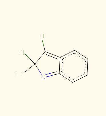 FC(F)(F)C1(Cl)N=c2ccccc2=C1Cl